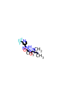 C=N/C(=C\C=C/C)C(=O)N[C@@H](C)c1nc(-c2ccnc(C(F)(F)F)c2)no1